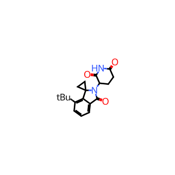 CC(C)(C)c1cccc2c1C1(CC1)N(C1CCC(=O)NC1=O)C2=O